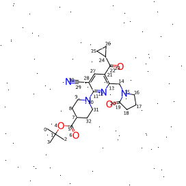 CC(C)(C)OC(=O)C1CCN(c2nc(CN3CCCC3=O)c(C(=O)C3CC3)cc2C#N)CC1